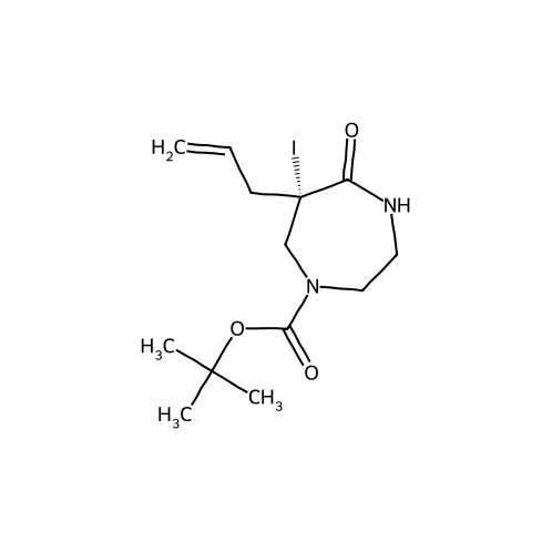 C=CC[C@]1(I)CN(C(=O)OC(C)(C)C)CCNC1=O